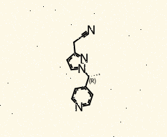 C[C@H](c1ccncc1)n1ccc(CC#N)n1